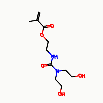 C=C(C)C(=O)OCCNC(=O)N(CCO)CCO